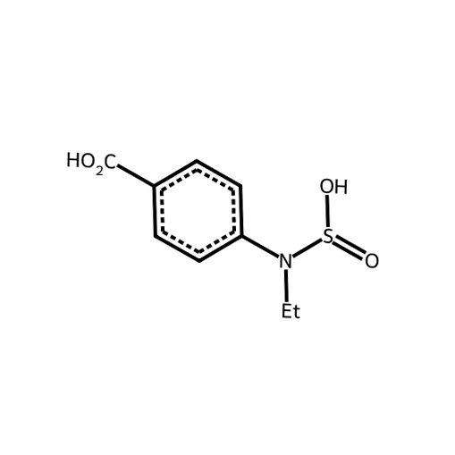 CCN(c1ccc(C(=O)O)cc1)S(=O)O